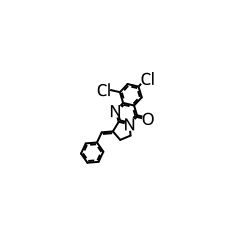 O=c1c2cc(Cl)cc(Cl)c2nc2n1CCC2=Cc1ccccc1